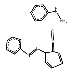 NNc1ccccc1.O=C=C1C=CC=CC1N=Nc1ccccc1